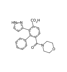 O=C(O)c1ccc(C(=O)N2CCOCC2)c(-c2ccccc2)c1-c1cc[nH]n1